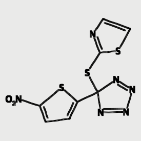 O=[N+]([O-])c1ccc(C2(Sc3nccs3)N=NN=N2)s1